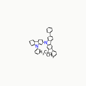 CC1(C)c2ccccc2-c2cc3c4ccc(-c5ccccc5)cc4n(-c4ccc5c6ccccc6n(-c6ccccc6)c5c4)c3cc21